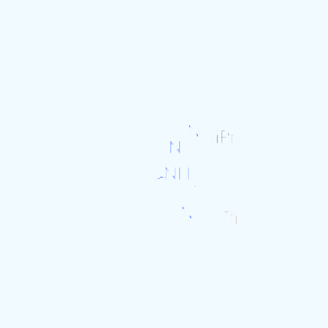 CC(C)n1nc(-c2ccccc2[C@@H](N)Cc2cccc(Br)n2)c2ccccc21